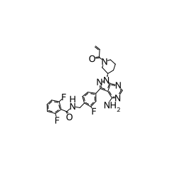 C=CC(=O)N1CCC[C@@H](n2nc(-c3ccc(CNC(=O)c4c(F)cccc4F)c(F)c3)c3c(N)ncnc32)C1